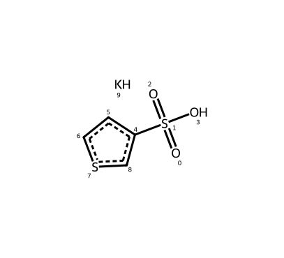 O=S(=O)(O)c1ccsc1.[KH]